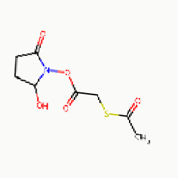 CC(=O)SCC(=O)ON1C(=O)CCC1O